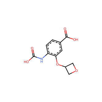 O=C(O)Nc1ccc(C(=O)O)cc1OC1COC1